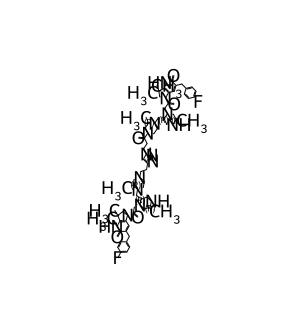 C[C@@H]1CN(CC(=O)N2CC(C)(C)c3[nH]c(=O)c(Cc4ccc(F)cc4)cc32)[C@@H](CN2CCN(CCc3cn(CCC(=O)N4CCN(C[C@H]5CN[C@H](C)CN5CC(=O)N5CC(C)(C)c6[nH]c(=O)c(Cc7ccc(F)cc7)cc65)[C@H](C)C4)nn3)C[C@H]2C)CN1